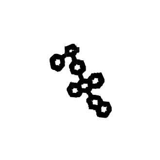 c1ccc(-n2ccnc2-c2ccc(-c3c4ccccc4c(-c4ccc5ccccc5c4)c4ccccc34)cc2)cc1